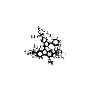 CC(C)(C)C1=CC2=C(C1)C(C1CCCCC1)CC2(C)C1c2cc(C(C)(C)C)ccc2-c2ccc(C(C)(C)C)cc21.[Cl-].[Cl-].[Zr+2]